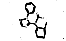 Cc1ccccc1N(C(N)=O)c1ncnn1-c1ccccc1